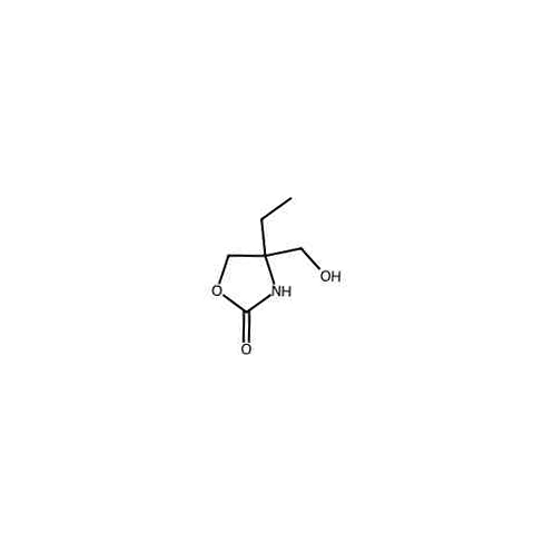 CCC1(CO)COC(=O)N1